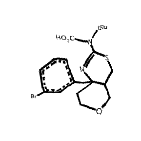 CC(C)(C)N(C(=O)O)C1=NC2(c3cccc(Br)c3)CCOCC2CS1